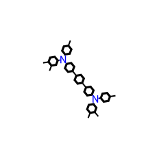 Cc1ccc(N(c2ccc(-c3ccc(-c4ccc(N(c5ccc(C)cc5)c5ccc(C)c(C)c5)cc4)cc3)cc2)c2ccc(C)c(C)c2)cc1